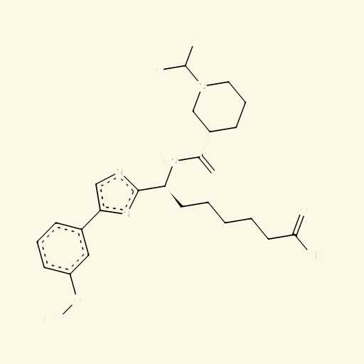 COc1cccc(-c2cnc([C@H](CCCCCC(C)=O)NC(=O)[C@H]3CCCN(C(C)C)C3)[nH]2)c1